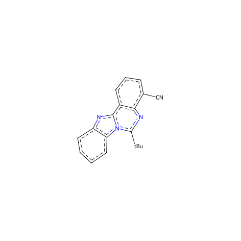 CC(C)(C)c1nc2c(C#N)cccc2c2nc3ccccc3n12